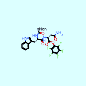 CCCCCCCCCC(=O)N[C@@H](Cc1c[nH]c2ccccc12)C(=O)N[C@H](CC(N)=O)C(=O)Oc1c(F)c(F)c(F)c(F)c1F